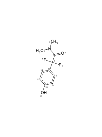 CN(C)C(=O)C(F)(F)c1ccc(O)cc1